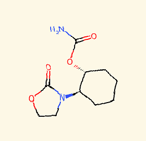 NC(=O)O[C@@H]1CCCC[C@H]1N1CCOC1=O